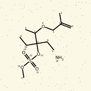 C=C(C)COC(C)C(CC)(CC)OS(=O)(=O)OC.N